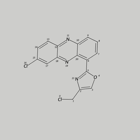 ClCc1coc(-c2cccc3nc4ccc(Cl)cc4nc23)n1